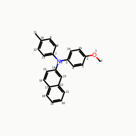 COc1ccc(N(c2ccc(C)cc2)c2ccc3ccccc3c2)cc1